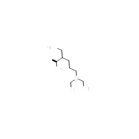 CCC(CCCN(CC)CC)C(=O)O